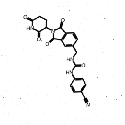 N#Cc1ccc(NC(=O)NCc2ccc3c(c2)C(=O)N(C2CCC(=O)NC2=O)C3=O)cc1